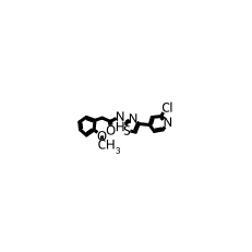 COc1ccccc1CC(=O)Nc1nc(-c2ccnc(Cl)c2)cs1